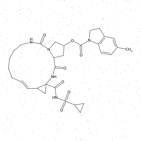 Cc1ccc2c(c1)CCN2C(=O)OC1CC2C(=O)NC3(C(=O)NS(=O)(=O)C4CC4)CC3/C=C/CCCCCNC(=O)N2C1